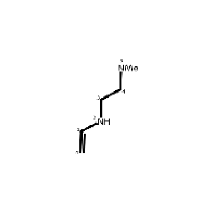 C=CNCCNC